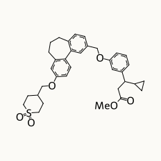 COC(=O)CC(c1cccc(OCc2ccc3c(c2)-c2ccc(OCC4CCS(=O)(=O)CC4)cc2CCC3)c1)C1CC1